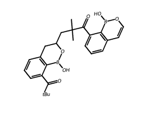 CC(C)(C)C(=O)c1cccc2c1B(O)OC(CC(C)(C)C(=O)c1cccc3c1B(O)OC=C3)C2